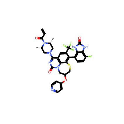 C=CC(=O)N1[C@H](C)CN(c2nc(=O)n3c4c(c(-c5ccc(F)c6[nH]c(=O)[nH]c56)c(C(F)(F)F)cc24)SCC(Oc2ccncc2)C3)C[C@@H]1C